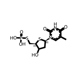 Cc1cn([C@H]2CC(O)[C@@H](CSP(=O)(O)O)S2)c(=O)[nH]c1=O